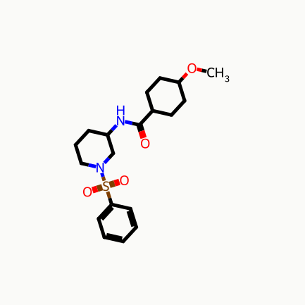 COC1CCC(C(=O)NC2CCCN(S(=O)(=O)c3ccccc3)C2)CC1